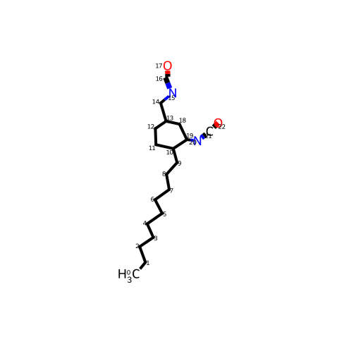 CCCCCCCCCCC1CCC(CN=C=O)CC1N=C=O